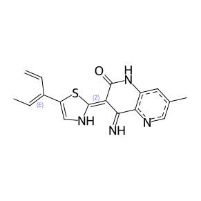 C=C/C(=C\C)C1=CN/C(=C2\C(=N)c3ncc(C)cc3NC2=O)S1